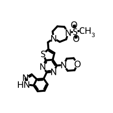 CS(=O)(=O)N1CCCN(Cc2cc3c(N4CCOCC4)nc(-c4cccc5[nH]ncc45)nc3s2)CC1